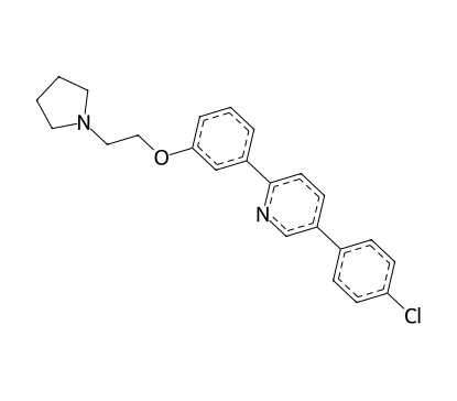 Clc1ccc(-c2ccc(-c3cccc(OCCN4CCCC4)c3)nc2)cc1